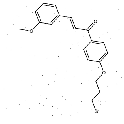 COc1cccc(C=CC(=O)c2ccc(OCCCBr)cc2)c1